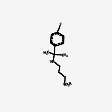 CC(C)(NCCCS(=O)(=O)O)c1ccc(F)cc1